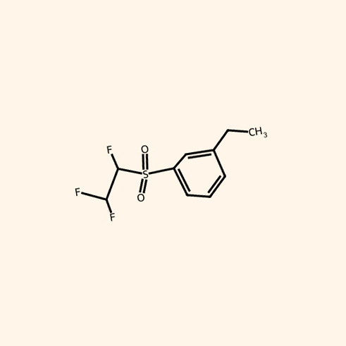 CCc1cccc(S(=O)(=O)C(F)C(F)F)c1